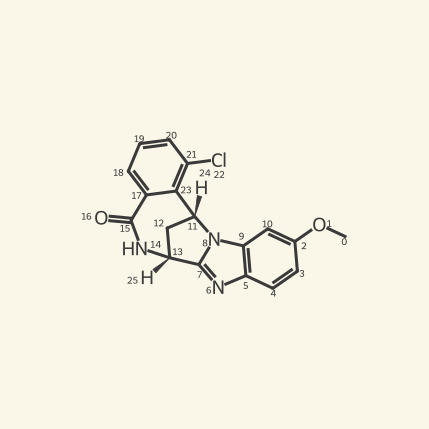 COc1ccc2nc3n(c2c1)[C@@H]1C[C@H]3NC(=O)c2cccc(Cl)c21